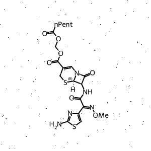 CCCCCC(=O)OCOC(=O)C1=CN2C(=O)C(NC(=O)C(=NOC)c3csc(N)n3)[C@H]2SC1